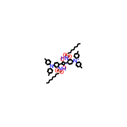 CCCCCCCCS(=O)(=O)NC1=CC(=[N+](c2ccc(C)cc2)c2ccc(C)cc2)C=C/C1=C1\C(=O)C(c2ccc(N(c3ccc(C)cc3)c3ccc(C)cc3)cc2NS(=O)(=O)CCCCCCCC)=C1[O-]